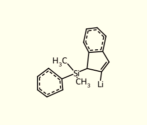 [Li][C]1=Cc2ccccc2C1[Si](C)(C)c1ccccc1